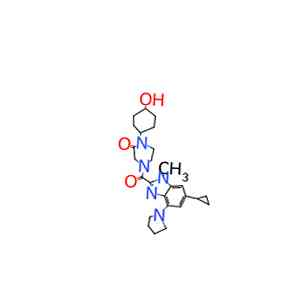 Cn1c(C(=O)N2CCN(C3CCC(O)CC3)C(=O)C2)nc2c(N3CCCC3)cc(C3CC3)cc21